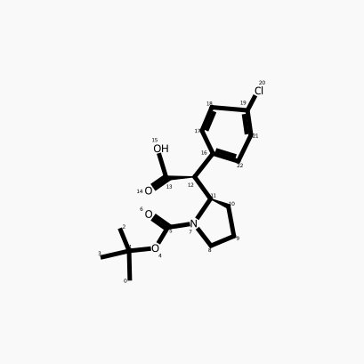 CC(C)(C)OC(=O)N1CCC[C@@H]1[C@@H](C(=O)O)c1ccc(Cl)cc1